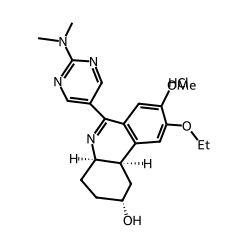 CCOc1cc2c(cc1OC)C(c1cnc(N(C)C)nc1)=N[C@@H]1CC[C@@H](O)C[C@H]21.Cl